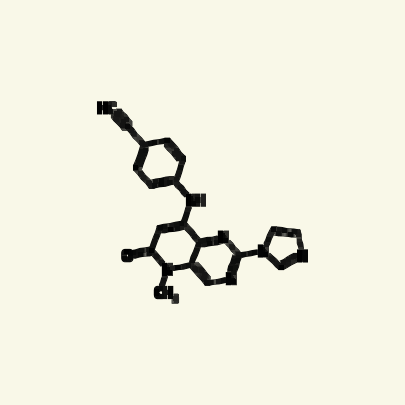 C#Cc1ccc(Nc2cc(=O)n(C)c3cnc(-n4ccnc4)nc23)cc1